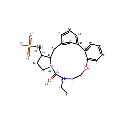 CCN1CCOc2ccccc2-c2cccc(c2)CC2C(NS(C)(=O)=O)CCN2C1=O